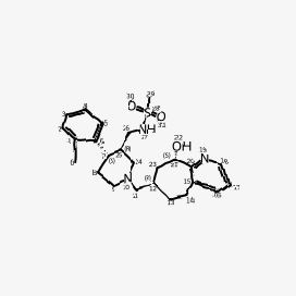 Cc1ccccc1[C@H]1CCN(C[C@@H]2CCc3cccnc3[C@@H](O)C2)C[C@@H]1CNS(C)(=O)=O